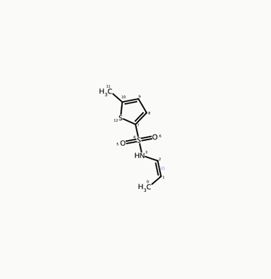 C/C=C\NS(=O)(=O)c1ccc(C)s1